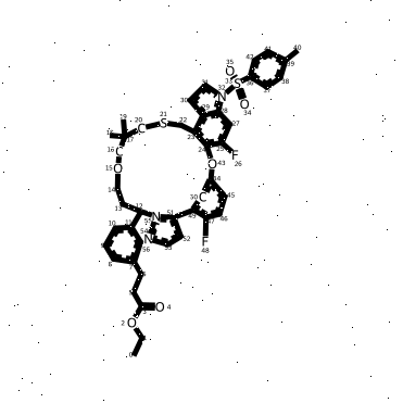 CCOC(=O)CCc1cccc(C2CCOCC(C)(C)CSCc3c(c(F)cc4c3ccn4S(=O)(=O)c3ccc(C)cc3)Oc3ccc(F)c(c3)-c3ccnn32)c1